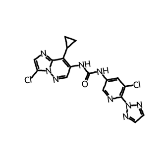 O=C(Nc1cnc(-n2nccn2)c(Cl)c1)Nc1cnn2c(Cl)cnc2c1C1CC1